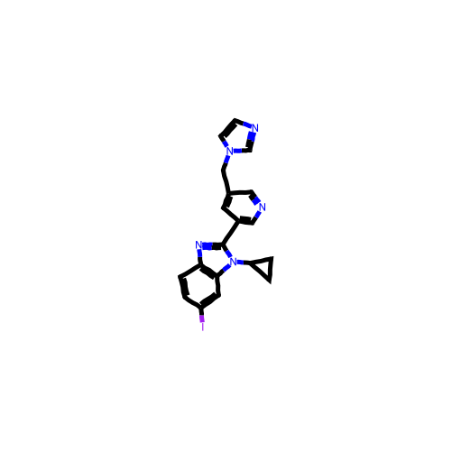 Ic1ccc2nc(-c3cncc(Cn4ccnc4)c3)n(C3CC3)c2c1